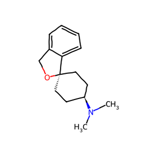 CN(C)[C@H]1CC[C@]2(CC1)OCc1ccccc12